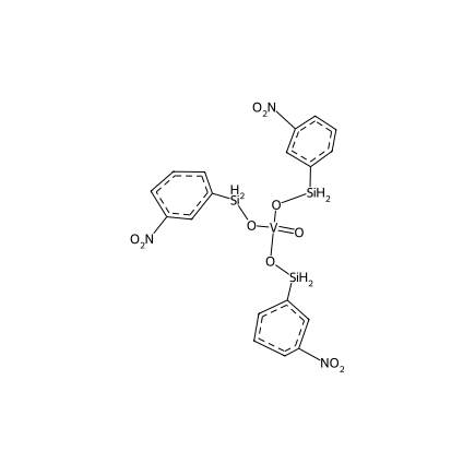 O=[N+]([O-])c1cccc([SiH2][O][V](=[O])([O][SiH2]c2cccc([N+](=O)[O-])c2)[O][SiH2]c2cccc([N+](=O)[O-])c2)c1